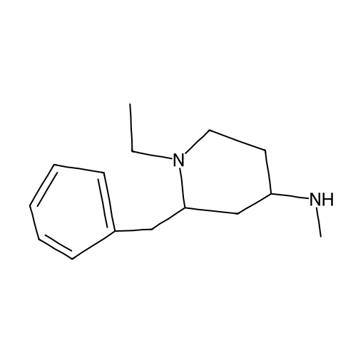 CCN1CCC(NC)CC1Cc1ccccc1